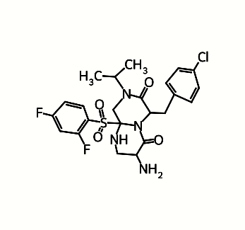 CC(C)N1CC2(S(=O)(=O)c3ccc(F)cc3F)NCC(N)C(=O)N2C(Cc2ccc(Cl)cc2)C1=O